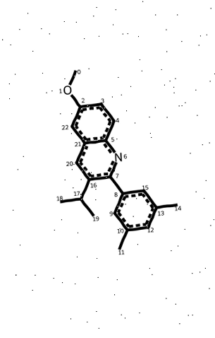 COc1ccc2nc(-c3cc(C)cc(C)c3)c(C(C)C)cc2c1